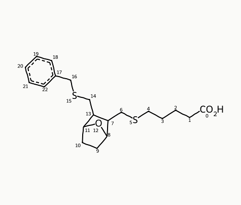 O=C(O)CCCCSCC1C2CCC(O2)C1CSCc1ccccc1